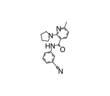 Cc1ccc(C(=O)Nc2cccc(C#N)c2)c(N2CCCC2)n1